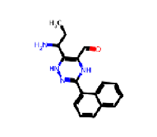 CCC(N)C1=C(C=O)NC(c2cccc3ccccc23)=NN1